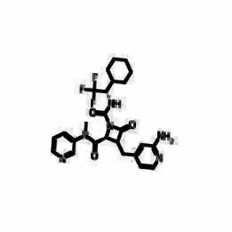 CN(C(=O)[C@@H]1C(Cc2ccnc(N)c2)C(=O)N1C(=O)N[C@@H](C1CCCCC1)C(F)(F)F)c1cccnc1